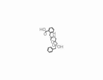 O=C(O)c1ccccc1C[C@@H]1CO[C@H](CP(=O)(O)Cc2ccccc2)CN1